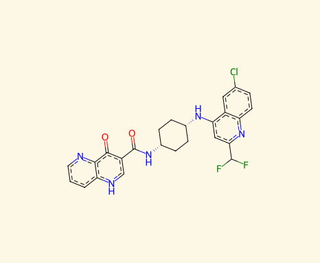 O=C(N[C@H]1CC[C@@H](Nc2cc(C(F)F)nc3ccc(Cl)cc23)CC1)c1c[nH]c2cccnc2c1=O